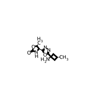 C[C@H]1OC(=O)N[C@@H]1c1nnc([C@]2(N)C[C@H](C)C2)o1